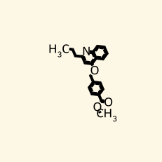 CCCc1cc(OCc2ccc(C(=O)OC)cc2)c2ccccc2n1